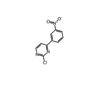 O=[N+]([O-])c1cccc(-c2ccnc(Cl)n2)c1